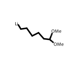 [Li][CH2]CCCCC(OC)OC